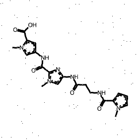 Cn1cc(NC(=O)c2nc(NC(=O)CCNC(=O)c3cccn3C)cn2C)cc1C(=O)O